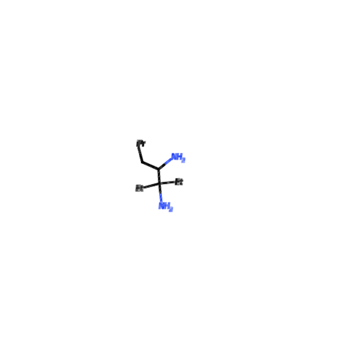 CCC(N)(CC)C(N)CC(C)C